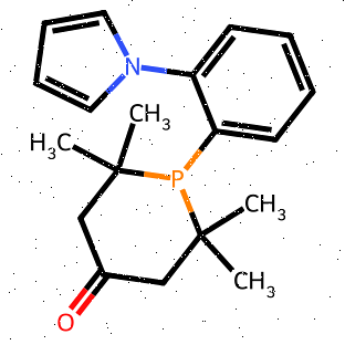 CC1(C)CC(=O)CC(C)(C)P1c1ccccc1-n1cccc1